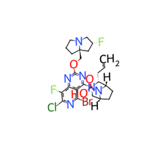 C=CC[C@@H]1[C@@H]2CC[C@H](CN1c1nc(OC[C@@]34CCCN3C[C@H](F)C4)nc3c(F)c(Cl)nc(Br)c13)N2C(=O)O